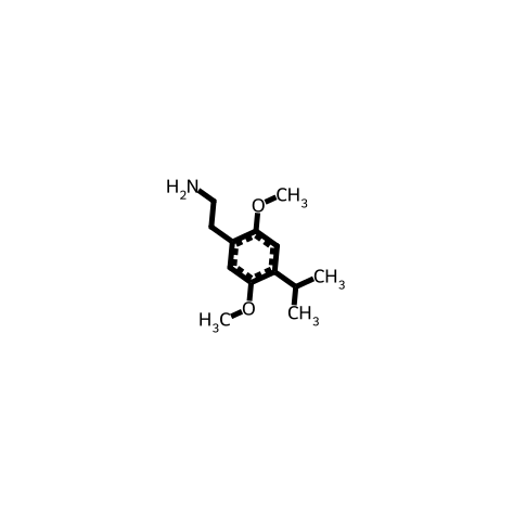 COc1cc(C(C)C)c(OC)cc1CCN